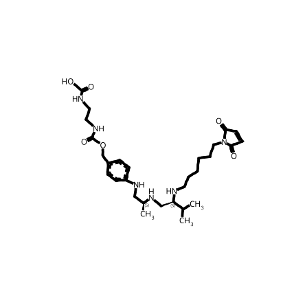 CC(C)[C@@H](CN[C@@H](C)CNc1ccc(COC(=O)NCCNC(=O)O)cc1)NCCCCCCN1C(=O)C=CC1=O